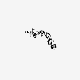 N=C(N)NC(=O)OCc1cccc(N2CCCN(c3cnc(N4CCOCC4)nc3)CC2)c1F